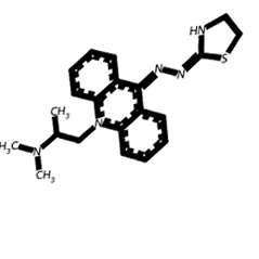 CC(Cn1c2ccccc2c(=NN=C2NCCS2)c2ccccc21)N(C)C